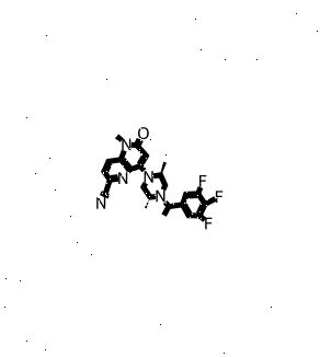 CC(c1cc(F)c(F)c(F)c1)N1C[C@H](C)N(c2cc(=O)n(C)c3ccc(C#N)nc23)C[C@H]1C